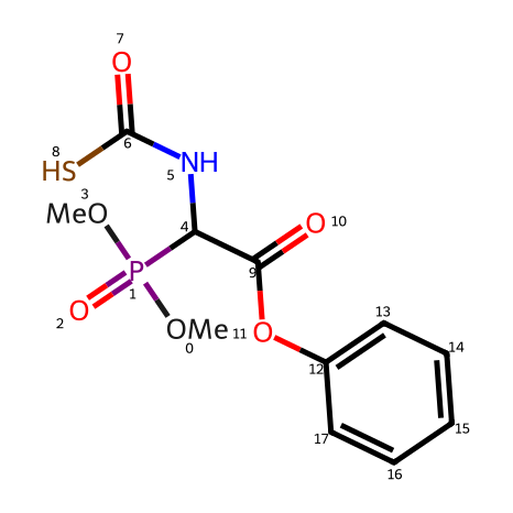 COP(=O)(OC)C(NC(=O)S)C(=O)Oc1ccccc1